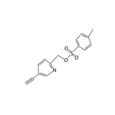 C#Cc1ccc(COS(=O)(=O)c2ccc(C)cc2)nc1